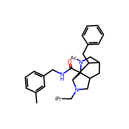 CC(=O)N1CC2CC3CN(CC(C)C)C(C2Cc2ccccc2)C31C(=O)NCc1cccc(C)c1